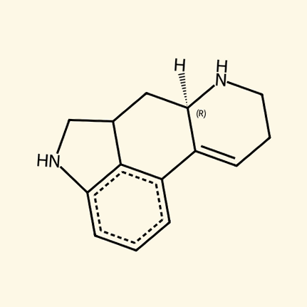 C1=C2c3cccc4c3C(CN4)C[C@H]2NCC1